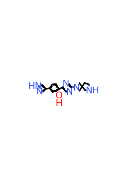 Oc1cc(-c2cn[nH]c2)ccc1-c1cnc(N2CC3(CCNC3)C2)cn1